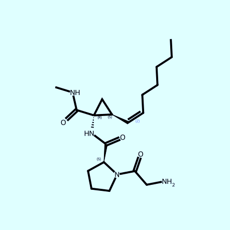 CCCCC/C=C\[C@@H]1C[C@]1(NC(=O)[C@@H]1CCCN1C(=O)CN)C(=O)NC